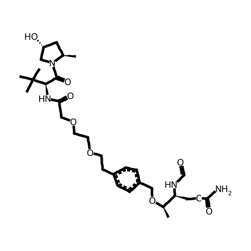 C[C@@H]1C[C@@H](O)CN1C(=O)[C@@H](NC(=O)COCCOCCc1ccc(CO[C@H](C)[C@H](CCC(N)=O)NC=O)cc1)C(C)(C)C